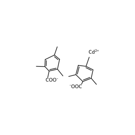 Cc1cc(C)c(C(=O)[O-])c(C)c1.Cc1cc(C)c(C(=O)[O-])c(C)c1.[Cd+2]